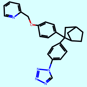 c1ccc(COc2ccc(C3(c4ccc(-n5cnnn5)cc4)CC4CCC3C4)cc2)nc1